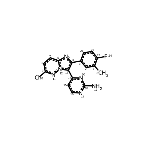 Cc1cc(-c2nc3ccc(Cl)nn3c2-c2ccnc(N)n2)ccc1F